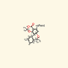 CCCCCc1cc2c(c3c1C(=O)OC(C)(C)O3)-c1cc(C)ccc1C(C)(C)O2